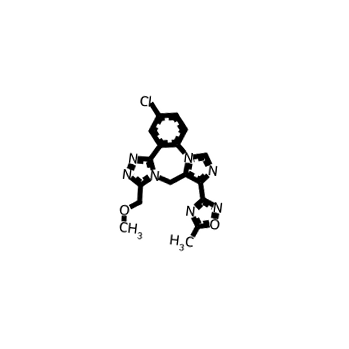 COCc1nnc2n1Cc1c(-c3noc(C)n3)ncn1-c1ccc(Cl)cc1-2